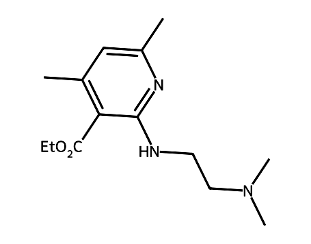 CCOC(=O)c1c(C)cc(C)nc1NCCN(C)C